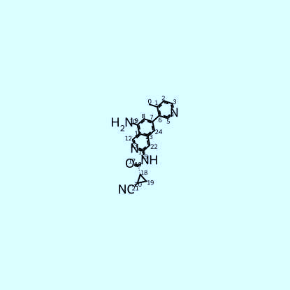 Cc1ccncc1-c1cc(N)c2cnc(NC(=O)[C@@H]3C[C@H]3C#N)cc2c1